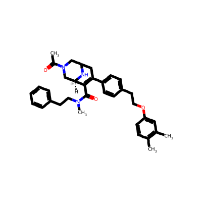 CC(=O)N1CC2CC(c3ccc(CCOc4ccc(C)c(C)c4)cc3)=C(C(=O)N(C)CCc3ccccc3)[C@@H](C1)N2